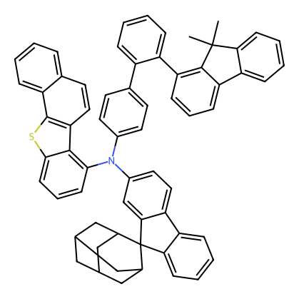 CC1(C)c2ccccc2-c2cccc(-c3ccccc3-c3ccc(N(c4ccc5c(c4)C4(c6ccccc6-5)C5CC6CC(C5)CC4C6)c4cccc5sc6c7ccccc7ccc6c45)cc3)c21